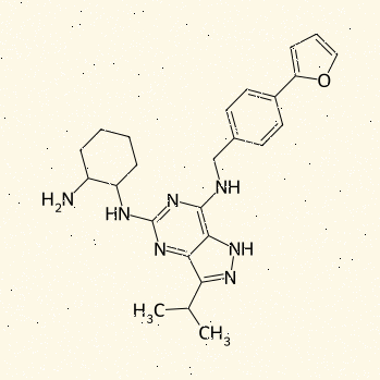 CC(C)c1n[nH]c2c(NCc3ccc(-c4ccco4)cc3)nc(NC3CCCCC3N)nc12